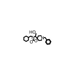 O=C1OC2(CCN(Cc3ccccc3)CC2)C(CO)N1CC1CCCCC1